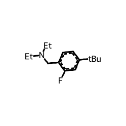 CCN(CC)Cc1ccc(C(C)(C)C)cc1F